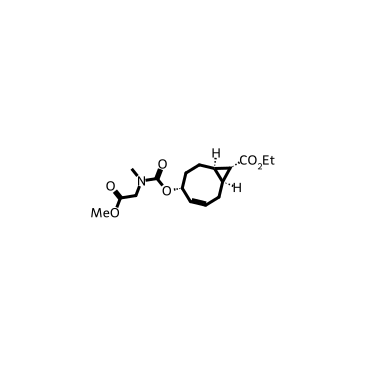 CCOC(=O)[C@H]1[C@@H]2CC[C@@H](OC(=O)N(C)CC(=O)OC)/C=C\C[C@@H]21